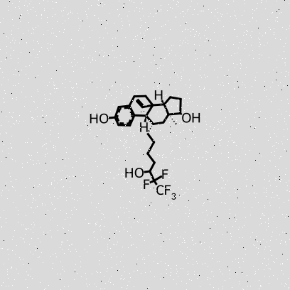 C=CC12CCc3cc(O)ccc3[C@H]1[C@@H](CCCCC(O)C(F)(F)C(F)(F)F)C[C@]1(C)[C@@H](O)CC[C@@H]21